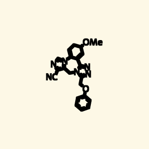 COC1C=C2C(=CC1)n1cnc(C#N)c1Cn1c(COc3ccccc3)nnc12